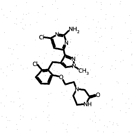 Cn1cc(Cc2c(Cl)cccc2OCCN2CCNC(=O)C2)c(-c2cc(Cl)nc(N)n2)n1